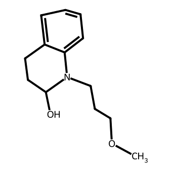 COCCCN1c2ccccc2CCC1O